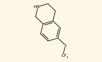 FC(F)(F)Sc1ccc2c(c1)CCNC2